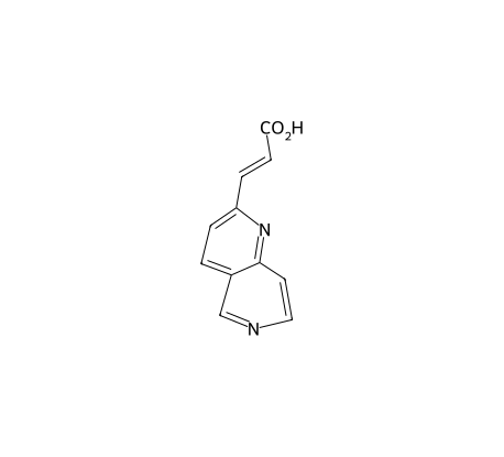 O=C(O)C=Cc1ccc2cnccc2n1